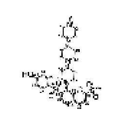 CN1CCN(C2CCN(C3CCN(c4c(S(=O)(=O)c5ccc(O)cc5)cnc5ccc(S(C)(=O)=O)cc45)CC3)CC2)CC1